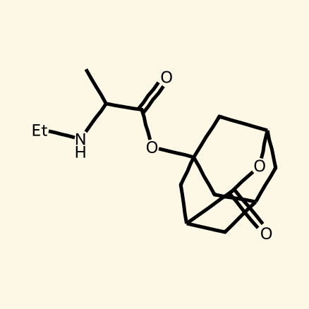 CCNC(C)C(=O)OC12CC3CC(C1)OC(=O)C(C3)C2